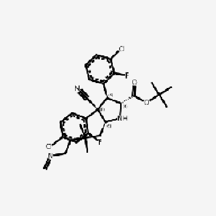 C=NCCC(C)(C)C[C@@H]1N[C@@H](C(=O)OC(C)(C)C)[C@H](c2cccc(Cl)c2F)[C@@]1(C#N)c1ccc(Cl)cc1F